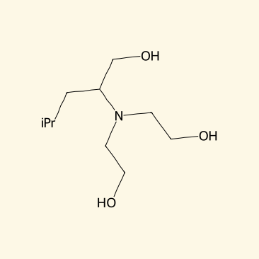 CC(C)CC(CO)N(CCO)CCO